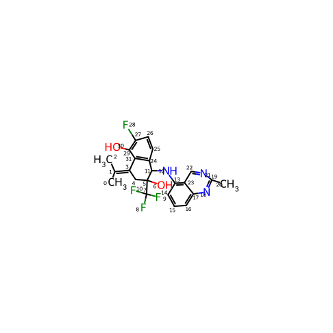 CC(C)=C1CC(O)(C(F)(F)F)C(Nc2cccc3nc(C)ncc23)c2ccc(F)c(O)c21